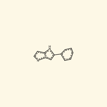 c1ccc(-c2cn3nccc3[nH]2)cc1